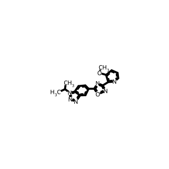 COc1cccnc1-c1noc(-c2ccc3c(c2)nnn3C(C)C)n1